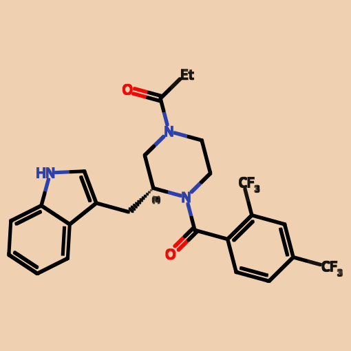 CCC(=O)N1CCN(C(=O)c2ccc(C(F)(F)F)cc2C(F)(F)F)[C@H](Cc2c[nH]c3ccccc23)C1